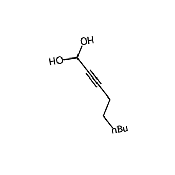 CCCCCCC#CC(O)O